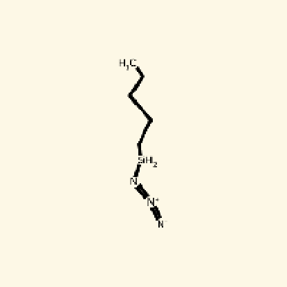 CCCCC[SiH2]N=[N+]=[N-]